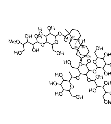 C=C1C[C@@]23CC[C@@H]4C(C)(C(=O)OC5OC(CO)C(OC(O)C(O)C(O)C(CO)OC)C(O)C5O)CCC[C@@]4(C)[C@@H]2CC[C@]1(OC1OC(CO)C(OC(C)C2OC(CO)C(O)C(O)C2O)C(OC(O)C(O)C(O)C(COC)OC)C1OC1OC(CO)C(O)C(O)C1O)C3